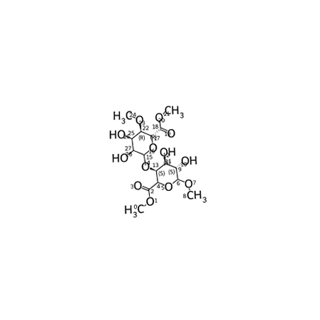 COC(=O)C1OC(OC)[C@@H](O)[C@H](O)[C@@H]1OC1O[C@@H](C(=O)OC)[C@H](OC)C(O)C1O